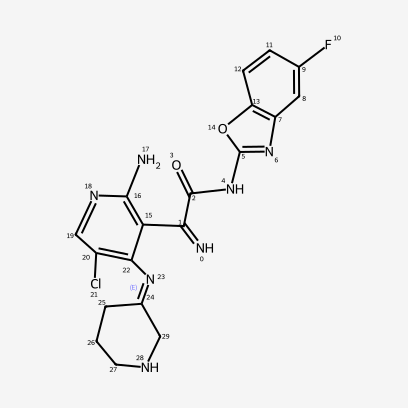 N=C(C(=O)Nc1nc2cc(F)ccc2o1)c1c(N)ncc(Cl)c1/N=C1\CCCNC1